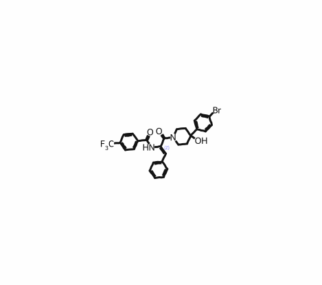 O=C(N/C(=C\c1ccccc1)C(=O)N1CCC(O)(c2ccc(Br)cc2)CC1)c1ccc(C(F)(F)F)cc1